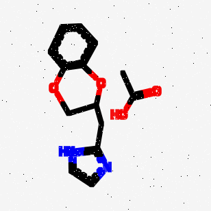 CC(=O)O.c1ccc2c(c1)OCC(Cc1ncc[nH]1)O2